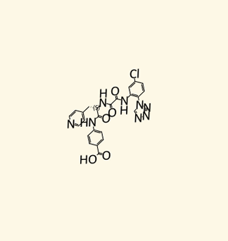 O=C(Nc1cc(Cl)ccc1-n1cnnn1)C(=O)N[C@@H](Cc1ccncc1)C(=O)Nc1ccc(C(=O)O)cc1